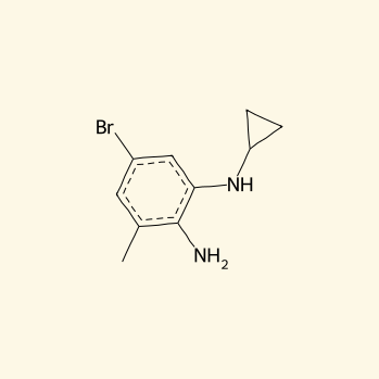 Cc1cc(Br)cc(NC2CC2)c1N